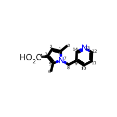 Cc1cc(C(=O)O)c(C)n1Cc1cccnc1